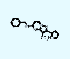 O=C(O)c1c(-c2ccco2)nn2ccc(NCc3ccccc3)nc12